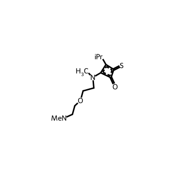 CNCCOCCN(C)c1c(C(C)C)c(=S)c1=O